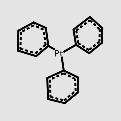 c1cc[c]([Pt]([c]2ccccc2)[c]2ccccc2)cc1